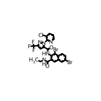 CCNC(=O)c1cc2cc(Br)ccc2c(Br)c1NC(=O)c1cc(C(F)(F)F)nn1-c1ncccc1Cl